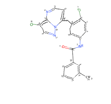 O=C(Nc1ccc(Cl)c(-c2ccnc3c(Cl)cnn23)c1)c1cccc(C(F)(F)F)c1